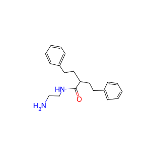 NCCNC(=O)C(CCc1ccccc1)CCc1ccccc1